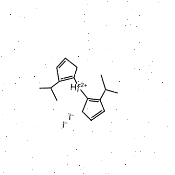 CC(C)C1=[C]([Hf+2][C]2=C(C(C)C)C=CC2)CC=C1.[I-].[I-]